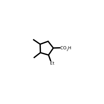 CCC1C(C(=O)O)CC(C)C1C